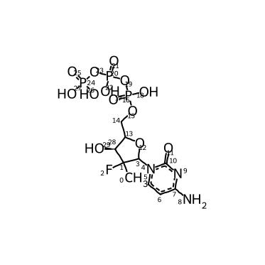 CC1(F)C(n2ccc(N)nc2=O)OC(COP(=O)(O)OP(=O)(O)OP(=O)(O)O)[C@@H]1O